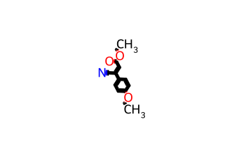 CCOC(=O)C=C(C#N)c1ccc(OCC)cc1